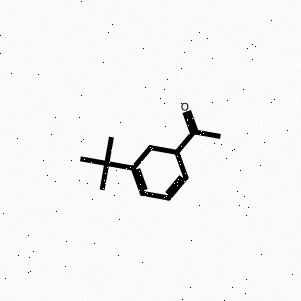 CC(=O)[C]1C=CC=C(C(C)(C)C)C1